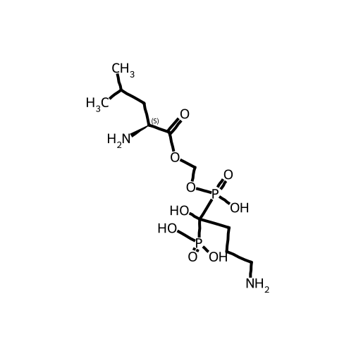 CC(C)C[C@H](N)C(=O)OCOP(=O)(O)C(O)(CCCN)P(=O)(O)O